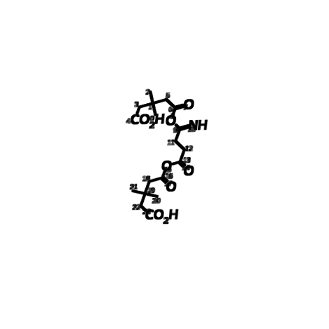 CC(C)(CC(=O)O)CC(=O)OC(=N)CCC(=O)OC(=O)CC(C)(C)CC(=O)O